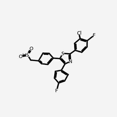 O=[SH](=O)Cc1ccc(-c2sc(-c3ccc(F)c(Cl)c3)nc2-c2ccc(F)cc2)cc1